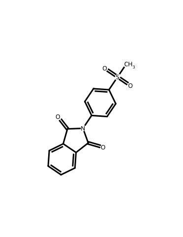 CS(=O)(=O)c1ccc(N2C(=O)c3ccccc3C2=O)cc1